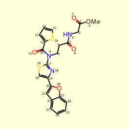 COC(=O)CNC(=O)CCN(C(=O)c1cccs1)c1nc(-c2cc3ccccc3o2)cs1